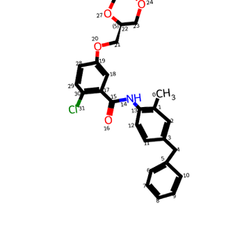 Cc1cc(Cc2ccccc2)ccc1NC(=O)c1cc(OC[C@@H]2COCCO2)ccc1Cl